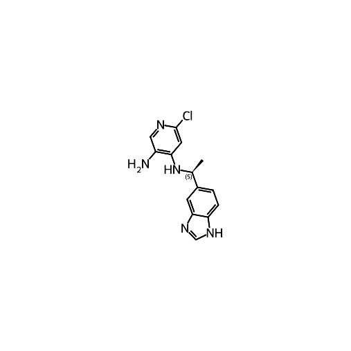 C[C@H](Nc1cc(Cl)ncc1N)c1ccc2[nH]cnc2c1